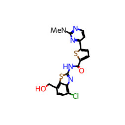 CNc1nccc(-c2ccc(C(=O)Nc3nc4c(Cl)ccc(CO)c4s3)s2)n1